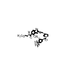 COCCNC(=O)c1ccc2nn(C[C@@H]3CCN(C(=O)c4ccc(S(F)(F)(F)(F)F)cc4)C3)cc2c1C